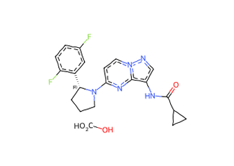 O=C(Nc1cnn2ccc(N3CCC[C@@H]3c3cc(F)ccc3F)nc12)C1CC1.O=C(O)O